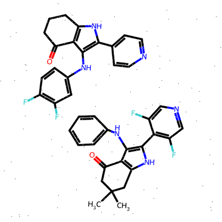 CC1(C)CC(=O)c2c([nH]c(-c3c(F)cncc3F)c2Nc2ccccc2)C1.O=C1CCCc2[nH]c(-c3ccncc3)c(Nc3ccc(F)c(F)c3)c21